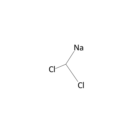 [Na][CH](Cl)Cl